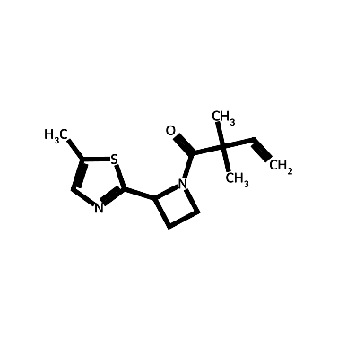 C=CC(C)(C)C(=O)N1CCC1c1ncc(C)s1